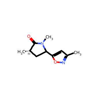 Cc1cc(C2C[C@H](C)C(=O)N2C)on1